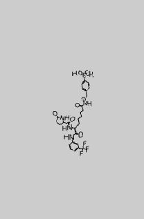 O=C(CCCCCC(NC(=O)C1CCC(=O)N1)C(=O)Nc1cccc(C(F)(F)F)c1)NOCc1ccc(B(O)O)cc1